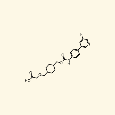 O=C(O)COCC1CCC(COC(=O)Nc2ccc(-c3cncc(F)c3)cc2)CC1